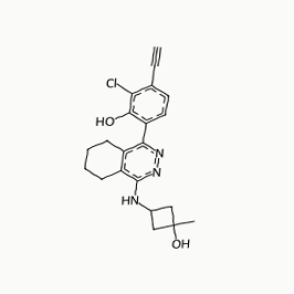 C#Cc1ccc(-c2nnc(NC3CC(C)(O)C3)c3c2CCCC3)c(O)c1Cl